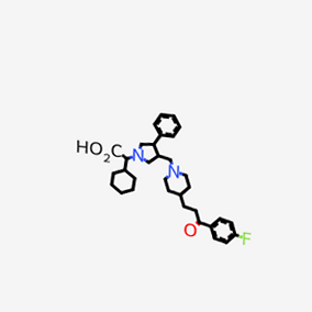 O=C(CCC1CCN(CC2CN(C(C(=O)O)C3CCCCC3)CC2c2ccccc2)CC1)c1ccc(F)cc1